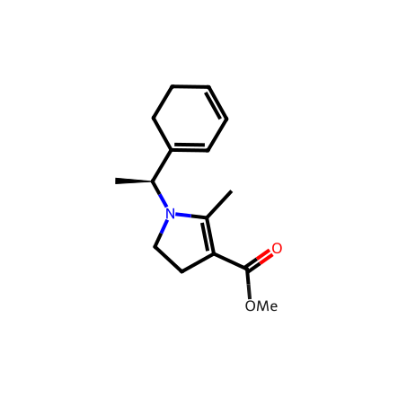 COC(=O)C1=C(C)N([C@@H](C)C2=CC=CCC2)CC1